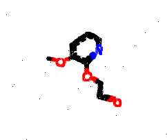 COc1cccnc1OCC=O